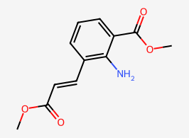 COC(=O)C=Cc1cccc(C(=O)OC)c1N